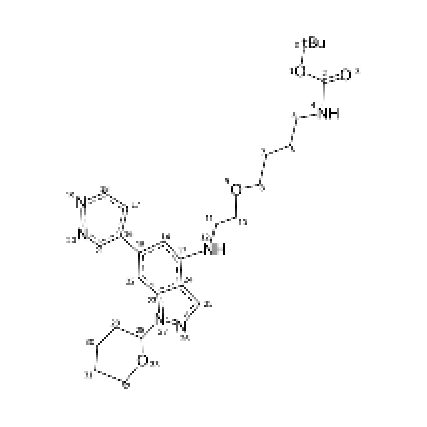 CC(C)(C)OC(=O)NCCCCOCCNc1cc(-c2ccnnc2)cc2c1cnn2C1CCCCO1